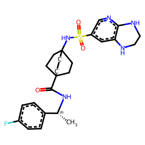 C[C@@H](NC(=O)C12CCC(NS(=O)(=O)c3cnc4c(c3)NCCN4)(CC1)CC2)c1ccc(F)cc1